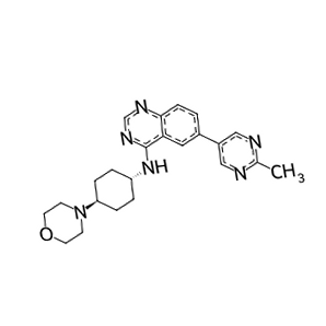 Cc1ncc(-c2ccc3ncnc(N[C@H]4CC[C@H](N5CCOCC5)CC4)c3c2)cn1